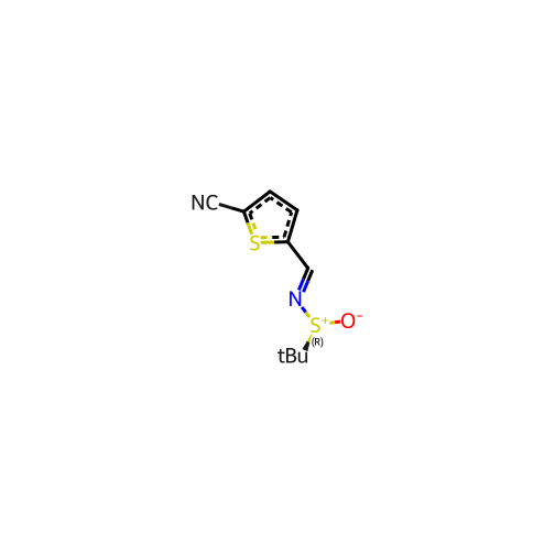 CC(C)(C)[S@+]([O-])N=Cc1ccc(C#N)s1